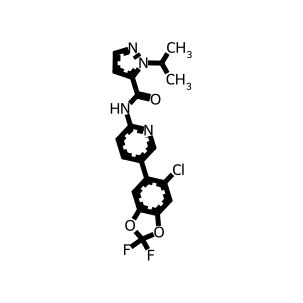 CC(C)n1nccc1C(=O)Nc1ccc(-c2cc3c(cc2Cl)OC(F)(F)O3)cn1